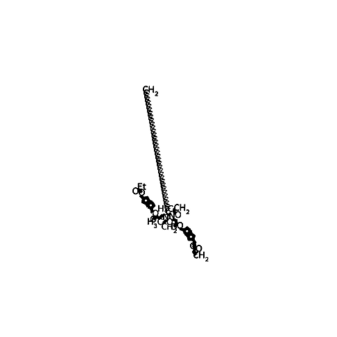 C=C=C=C=C=C=C=C=C=C=C=C=C=C=C=C=C=C=C=C=C=C=C=C=C=C=C=C=C=C=C=C=C=C=C=C(N(CCC(=O)OCC1CC2CC1C1CC(COC(=O)C=C)CC21)C(=O)C(=C)C)N(CCC(=O)OCC1CC2CC1C1CC(COC(=O)CC)CC21)C(=O)C(=C)C